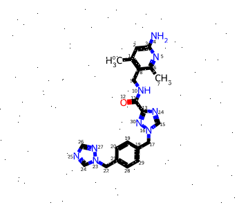 Cc1cc(N)nc(C)c1CNC(=O)c1ncn(Cc2ccc(Cn3cncn3)cc2)n1